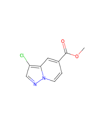 COC(=O)c1ccn2ncc(Cl)c2c1